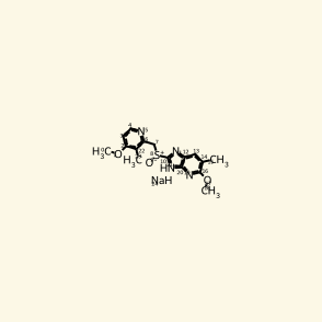 COc1ccnc(C[S+]([O-])c2nc3cc(C)c(OC)nc3[nH]2)c1C.[NaH]